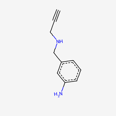 C#CCNCc1cccc(N)c1